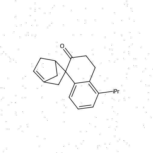 CC(C)c1cccc2c1CCC(=O)C21CC2=CCC1C2